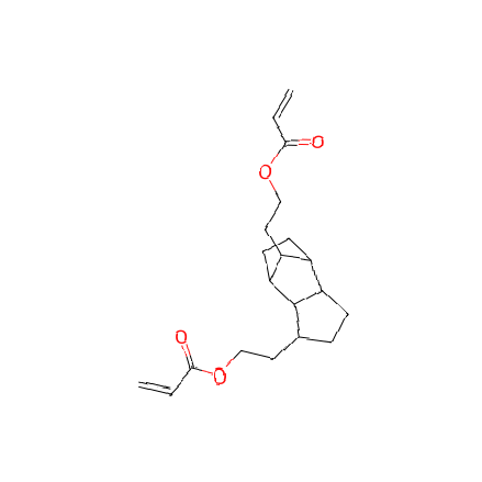 C=CC(=O)OCCC1CCC2C3CCC(C3CCOC(=O)C=C)C12